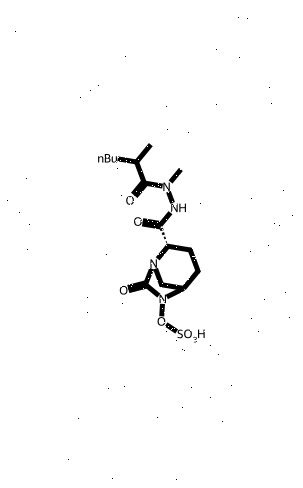 CCCCC(C)C(=O)N(C)NC(=O)[C@@H]1CCC2CN1C(=O)N2OS(=O)(=O)O